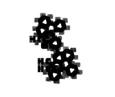 C[Si](C)(C)c1cc(-c2ccc(N(c3ccccc3)c3ccccc3-c3ccccc3)c([Si](C)(C)C)c2)ccc1N(c1ccccc1)c1ccccc1-c1ccccc1